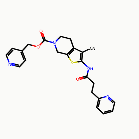 N#Cc1c(NC(=O)CCc2ccccn2)sc2c1CCN(C(=O)OCc1ccncc1)C2